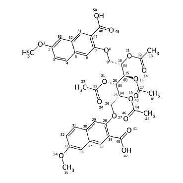 COc1ccc2cc(OC[C@H](OC(C)=O)[C@@H](OC(C)=O)[C@@H](OC(C)=O)[C@@H](COc3cc4ccc(OC)cc4cc3C(=O)O)OC(C)=O)c(C(=O)O)cc2c1